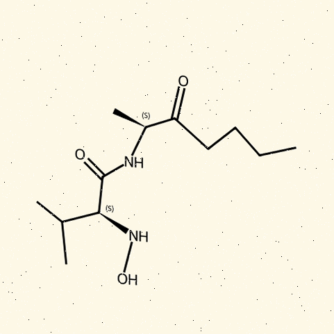 CCCCC(=O)[C@H](C)NC(=O)[C@@H](NO)C(C)C